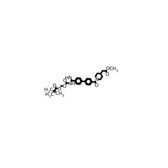 COC(=O)CC1CCN(C(=O)c2ccc(-c3ccc(C(=N)NC(=O)OCOC(=O)C(C)(C)C)cc3)cc2)CC1